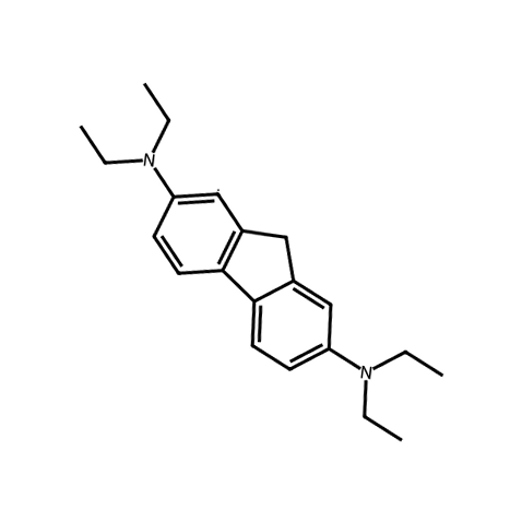 CCN(CC)c1[c]c2c(cc1)-c1ccc(N(CC)CC)cc1C2